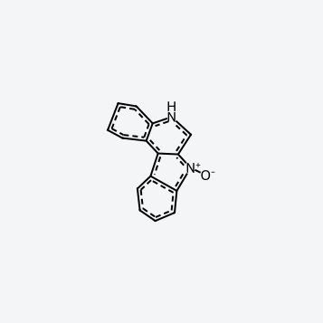 [O-][n+]1c2c[nH]c3ccccc3c-2c2ccccc21